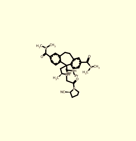 CC(C)NC(=N)C1(C[C@H](C)NCC(=O)N2CCC[C@H]2C#N)c2ccc(C(=O)N(C)C)cc2CCc2cc(C(=O)N(C)C)ccc21